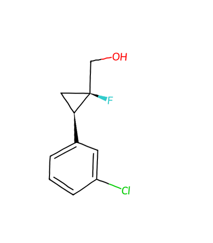 OC[C@@]1(F)C[C@@H]1c1cccc(Cl)c1